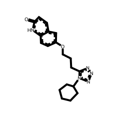 O=c1ccc2cc(OCCCc3nnnn3C3CCCCC3)ccc2[nH]1